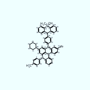 Cc1ccc(N2c3ccccc3B3c4ccc(C(C)C)cc4N(c4ccc(C5c6ccccc6[Si](C)(C)c6ccccc65)cc4)c4cc(C5CCCCC5)cc2c43)cc1